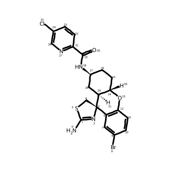 NC1=N[C@@]2(CS1)c1cc(Br)ccc1O[C@H]1CC[C@H](NC(=O)c3ccc(Cl)cn3)C[C@@H]12